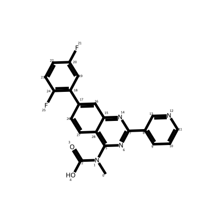 CN(C(=O)O)c1nc(-c2cccnc2)nc2cc(-c3cc(F)ccc3F)ccc12